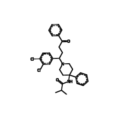 CC(C)C(=O)NC1(c2ccccc2)CCN(C(CCC(=O)c2ccccc2)c2ccc(Cl)c(Cl)c2)CC1